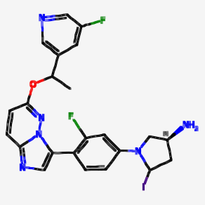 CC(Oc1ccc2ncc(-c3ccc(N4C[C@@H](N)CC4I)cc3F)n2n1)c1cncc(F)c1